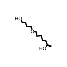 C=C(O)CCCCCOCCCCO